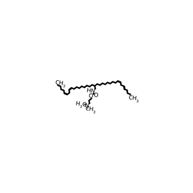 CCCC/C=C/C/C=C\CCCCCCCCC(CCCCCCCC/C=C\C/C=C\CCCCC)CNC(=O)OCCCN(C)C